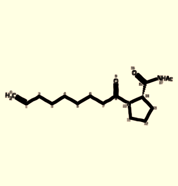 C=CCCCCCCC(=O)N1CCC[C@H]1C(=O)NC(C)=O